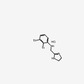 CCc1cccc(NCC2=NCCN2)c1CC.Cl